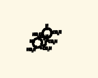 CC1CN(C(=O)O)CCNCCN(C(=O)O)CCN1C(CCC(C(=O)O)N1CCN(C(=O)O)CCNCCN(C(=O)O)CC1C)C(=O)O